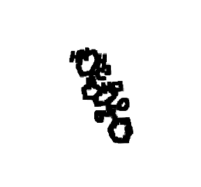 CC1(N2CCc3cc(S(=O)(=O)c4ccccc4)ccc32)CCNCC1.Cl